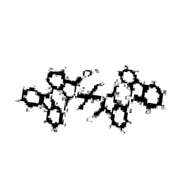 CC(C)(N1C(=O)c2cccc(-n3c4ccccc4c4ccccc43)c2C1=O)N1C(=O)c2cccc(-n3c4ccccc4c4ccccc43)c2C1=O